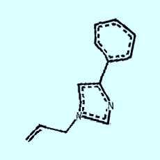 C=CCn1[c]nc(-c2ccccc2)c1